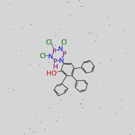 Cln1pn[pH]n(Cl)p1Cl.Oc1ccc(-c2ccccc2)c(-c2ccccc2)c1-c1ccccc1